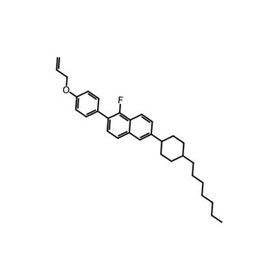 C=CCOc1ccc(-c2ccc3cc(C4CCC(CCCCCCC)CC4)ccc3c2F)cc1